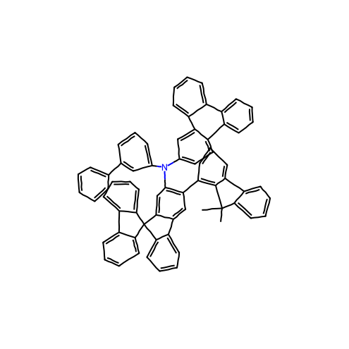 CC1(C)c2ccccc2-c2cccc(-c3cc4c(cc3N(c3cccc(-c5ccccc5)c3)c3ccc5c6ccccc6c6ccccc6c5c3)C3(c5ccccc5-c5ccccc53)c3ccccc3-4)c21